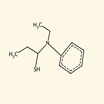 CCC(S)N(CC)c1ccccc1